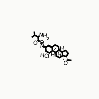 CC(=O)[C@H]1CC[C@H]2[C@@H]3CCC4=CC(=NOC(=O)C(N)C(C)C)CC[C@]4(C)[C@H]3CC[C@]12C.Cl